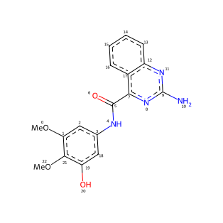 COc1cc(NC(=O)c2nc(N)nc3ccccc23)cc(O)c1OC